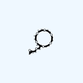 C1COCCOCCOC(COCC2CO2)COCCOCCO1